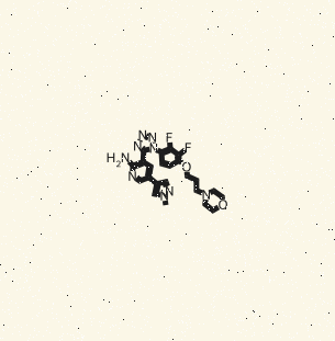 Cn1cc(-c2cnc(N)c(-c3nnnn3-c3ccc(OCCCN4CCOCC4)c(F)c3F)c2)cn1